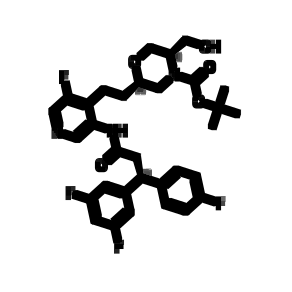 CC(C)(C)OC(=O)N1C[C@@H](CCc2c(F)cncc2NC(=O)C[C@@H](c2ccc(F)cc2)c2cc(F)cc(F)c2)OC[C@H]1CO